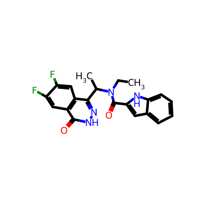 CCN(C(=O)c1cc2ccccc2[nH]1)C(C)c1n[nH]c(=O)c2cc(F)c(F)cc12